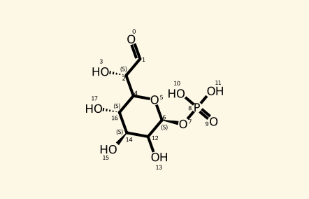 O=C[C@@H](O)C1O[C@@H](OP(=O)(O)O)C(O)[C@@H](O)[C@@H]1O